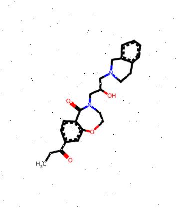 CCC(=O)c1ccc2c(c1)OCCN(CC(O)CN1CCc3ccccc3C1)C2=O